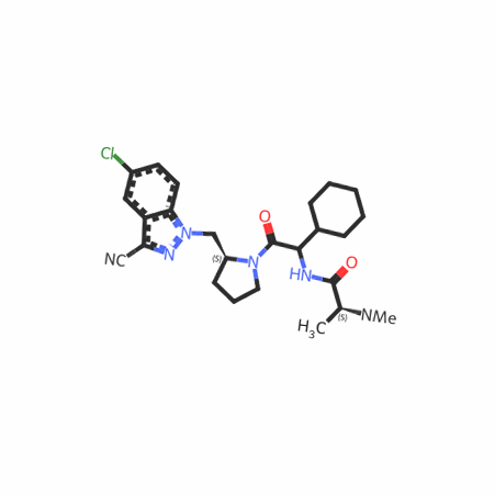 CN[C@@H](C)C(=O)NC(C(=O)N1CCC[C@H]1Cn1nc(C#N)c2cc(Cl)ccc21)C1CCCCC1